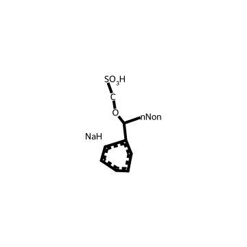 CCCCCCCCCC(OCS(=O)(=O)O)c1ccccc1.[NaH]